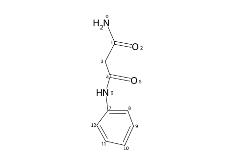 NC(=O)CC(=O)Nc1ccccc1